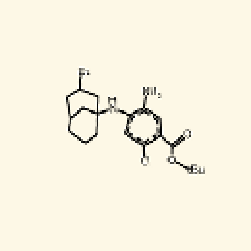 CCC1CC2CCCC(Nc3cc(Cl)c(C(=O)OC(C)(C)C)cc3N)(C1)C2